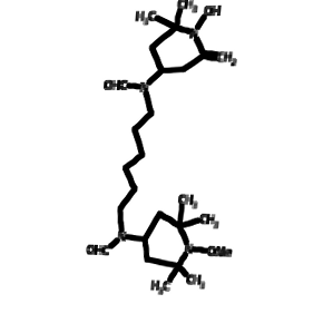 C=C1CC(N(C=O)CCCCCCN(C=O)C2CC(C)(C)N(OC)C(C)(C)C2)CC(C)(C)N1O